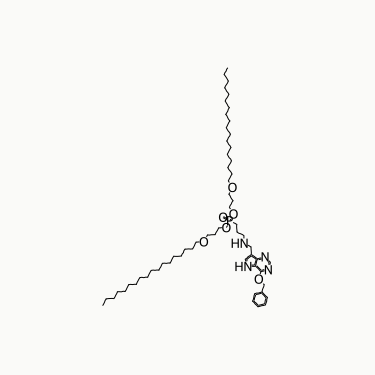 CCCCCCCCCCCCCCCCCCOCCCOP(=O)(CCCNCc1c[nH]c2c(OCc3ccccc3)ncnc12)OCCCOCCCCCCCCCCCCCCCCCC